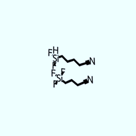 N#CCCCC[SiH](F)F.N#CCCC[Si](F)(F)F